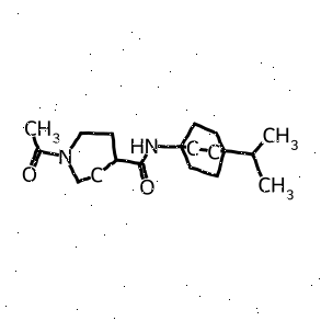 CC(=O)N1CCC(C(=O)NC23CCC(C(C)C)(CC2)CC3)CC1